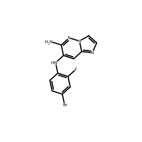 Nc1nn2ccnc2cc1Nc1ccc(Br)cc1F